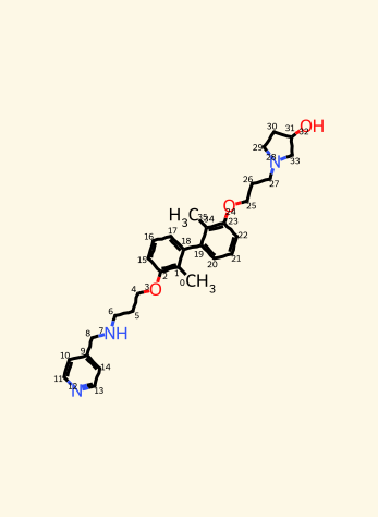 Cc1c(OCCCNCc2ccncc2)cccc1-c1cccc(OCCCN2CCC(O)C2)c1C